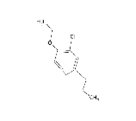 CCCc1ccc(OCC)c(Cl)c1